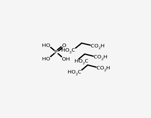 O=C(O)CC(=O)O.O=C(O)CC(=O)O.O=C(O)CC(=O)O.O=P(O)(O)O